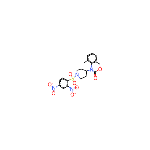 Cc1cccc2c1N(C1CCN(S(=O)(=O)c3ccc([N+](=O)[O-])cc3[N+](=O)[O-])CC1)C(=O)OC2